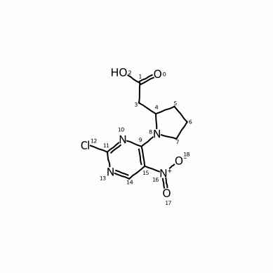 O=C(O)CC1CCCN1c1nc(Cl)ncc1[N+](=O)[O-]